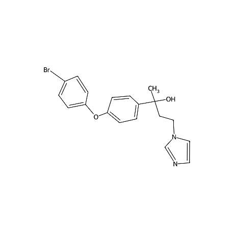 CC(O)(CCn1ccnc1)c1ccc(Oc2ccc(Br)cc2)cc1